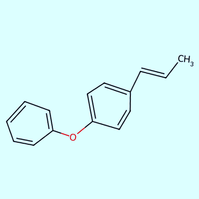 CC=Cc1ccc(Oc2ccccc2)cc1